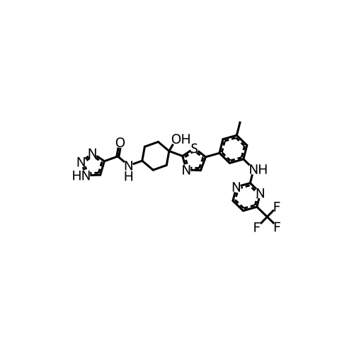 Cc1cc(Nc2nccc(C(F)(F)F)n2)cc(-c2cnc(C3(O)CCC(NC(=O)c4c[nH]nn4)CC3)s2)c1